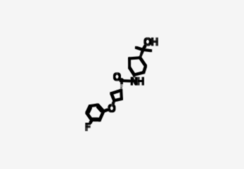 CC(C)(O)[C@H]1CC[C@H](NC(=O)[C@H]2C[C@H](Oc3cccc(F)c3)C2)CC1